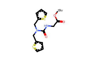 CC(C)(C)OC(=O)CNC(=O)N(Cc1cccs1)Cc1cccs1